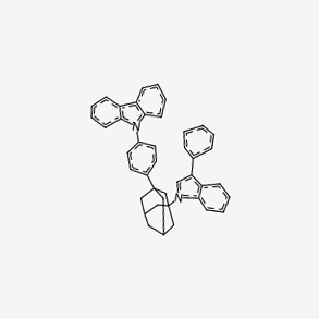 c1ccc(-c2cn(C34CC5CC(CC(c6ccc(-n7c8ccccc8c8ccccc87)cc6)(C5)C3)C4)c3ccccc23)cc1